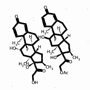 CC(=O)OCC(=O)[C@@]1(O)[C@H](C)C[C@H]2[C@@H]3CCC4=CC(=O)C=C[C@]4(C)[C@@]3(F)C(O)C[C@@]21C.C[C@@H]1C[C@H]2[C@@H]3CCC4=CC(=O)C=C[C@]4(C)[C@@]3(F)[C@@H](O)C[C@]2(C)[C@@]1(O)C(=O)CO